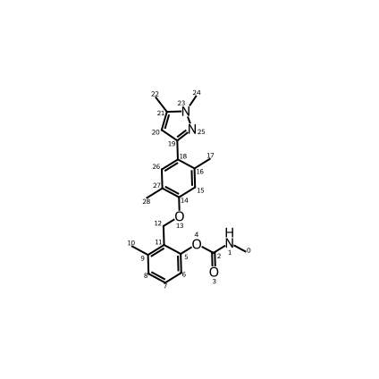 CNC(=O)Oc1cccc(C)c1COc1cc(C)c(-c2cc(C)n(C)n2)cc1C